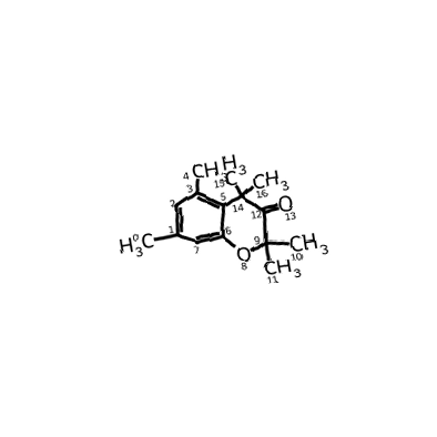 Cc1cc(C)c2c(c1)OC(C)(C)C(=O)C2(C)C